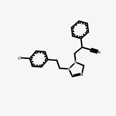 N#CC(CN1CN=CN1CCc1ccc(Cl)cc1)c1ccccc1